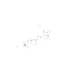 C=CCCc1nc(N)nc(N)c1-c1ccc(NCc2ccc(S(C)(=O)=O)cc2)cc1